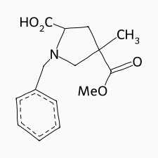 COC(=O)C1(C)CC(C(=O)O)N(Cc2ccccc2)C1